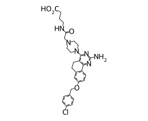 Nc1nc2c(c(N3CCN(CC(=O)NCCCC(=O)O)CC3)n1)CCc1cc(OCc3ccc(Cl)cc3)ccc1-2